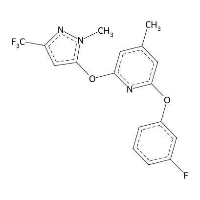 Cc1cc(Oc2cccc(F)c2)nc(Oc2cc(C(F)(F)F)nn2C)c1